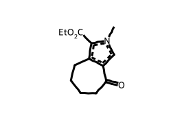 CCOC(=O)c1c2c(cn1C)C(=O)CCCC2